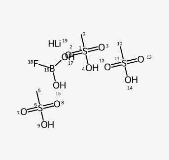 CS(=O)(=O)O.CS(=O)(=O)O.CS(=O)(=O)O.OB(O)F.[LiH]